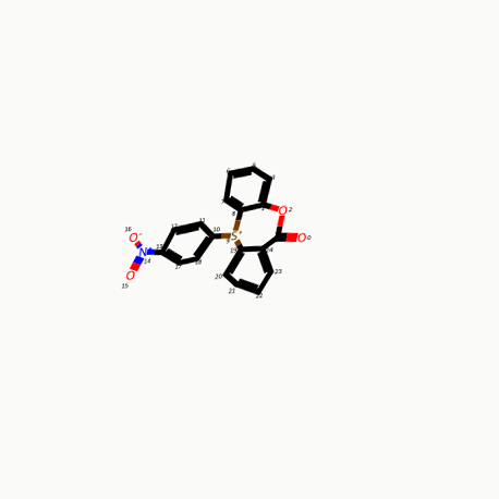 O=C1Oc2ccccc2[S+](c2ccc([N+](=O)[O-])cc2)c2ccccc21